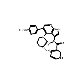 Cc1ccc(-c2cnc3[nH]cc(N(N)C(=O)C4=CC=CNC4)c3c2N2CCC[C@@H](N)C2)cn1